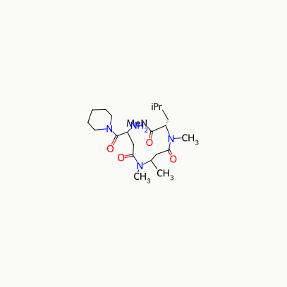 CNC(=O)[C@H](CC(C)C)N(C)C(=O)CC(C)N(C)C(=O)CC(N)C(=O)N1CCCCC1